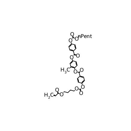 C=CC(=O)OCCCCOC(=O)Oc1ccc(C(=O)Oc2ccc(OC(=O)c3ccc(OC(=O)OCCCCC)cc3)cc2C)cc1